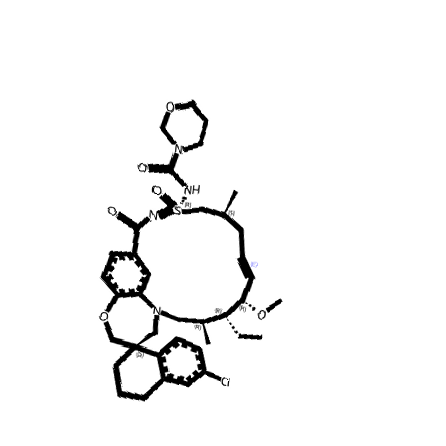 CC[C@H]1[C@@H](OC)/C=C/C[C@H](C)C[S@@](=O)(NC(=O)N2CCCOC2)=NC(=O)c2ccc3c(c2)N(C[C@@H]1C)C[C@@]1(CCCc2cc(Cl)ccc21)CO3